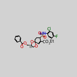 CCOC(=O)C1=CC2(CCC1S(=O)(=O)Nc1ccc(F)cc1Cl)OC[C@@H](COC(=O)c1ccccc1)O2